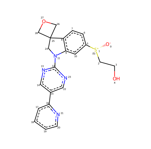 [O-][S@+](CCO)c1ccc2c(c1)N(c1ncc(-c3ccccn3)cn1)CC21COC1